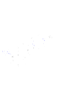 CC(C)N1CCN(c2ccc3c(c2)CCC[C@H]3N)CC1